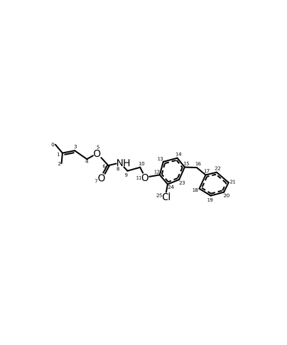 CC(C)=CCOC(=O)NCCOc1ccc(Cc2ccccc2)cc1Cl